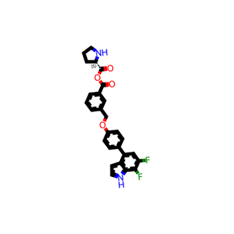 O=C(OC(=O)[C@@H]1CCCN1)c1cccc(COc2ccc(-c3cc(F)c(F)c4[nH]ccc34)cc2)c1